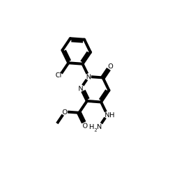 COC(=O)c1nn(-c2ccccc2Cl)c(=O)cc1NN